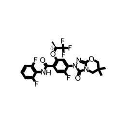 C[C@H](Oc1cc(-n2nc3n(c2=O)CC(C)(C)CO3)c(F)cc1C(=O)Nc1c(F)cccc1F)C(F)(F)F